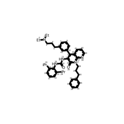 CCN(CC)CCCc1cccc(-c2c(NC(=O)Nc3c(C(C)C)cccc3C(C)C)c(=O)n(CCCc3ccccc3)c3ncccc23)c1